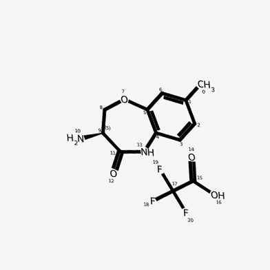 Cc1ccc2c(c1)OC[C@H](N)C(=O)N2.O=C(O)C(F)(F)F